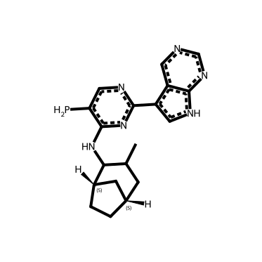 CC1C[C@@H]2CC[C@@H](C2)C1Nc1nc(-c2c[nH]c3ncncc23)ncc1P